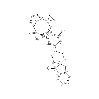 CP1(=O)c2cccc(c2)C2(CC2)c2nn1c1nc(N3CCC4(CC3)Cc3ccccc3[C@H]4N)[nH]c(=O)c21